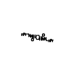 CCC/C=N/NC(=O)C1CCC(C(=O)N/N=C/CCC)CC1